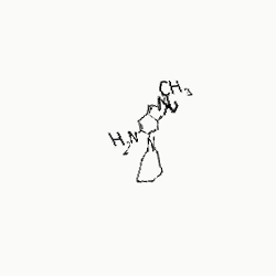 Cn1cc2cc(N)c(N3CCCCC3)cc2n1